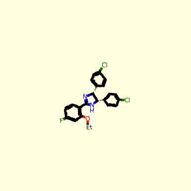 CCOc1cc(F)ccc1C1=N[C@H](c2ccc(Cl)cc2)[C@H](c2ccc(Cl)cc2)N1